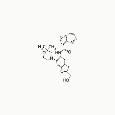 CC1(C)CN(c2cc3c(cc2NC(=O)c2cnn4cccnc24)CC(CO)O3)CCO1